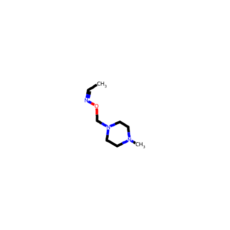 C/C=N\OCN1CCN(C)CC1